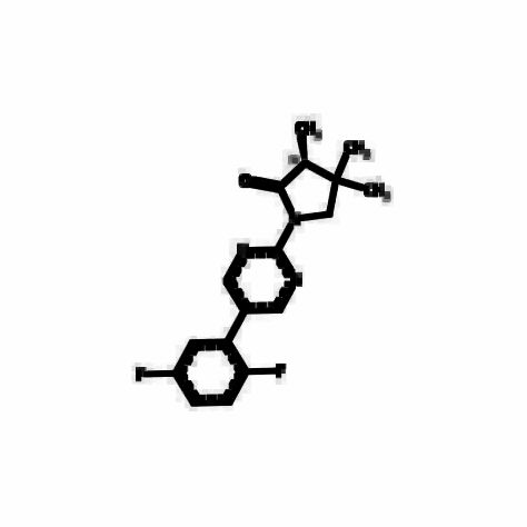 C[C@@H]1C(=O)N(c2ncc(-c3cc(F)ccc3F)cn2)CC1(C)C